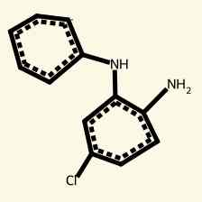 Nc1ccc(Cl)cc1Nc1[c]cccc1